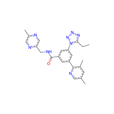 CCc1nnnn1-c1cc(C(=O)NCc2cnc(C)cn2)cc(-c2ncc(C)cc2C)c1